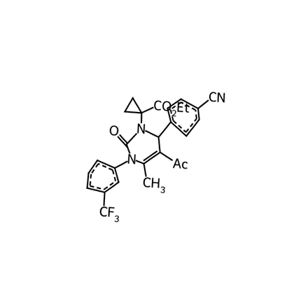 CCOC(=O)C1(N2C(=O)N(c3cccc(C(F)(F)F)c3)C(C)=C(C(C)=O)C2c2ccc(C#N)cc2)CC1